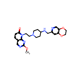 COc1ncc2ccc(=O)n(CCN3CCC(NCc4cc5c(cn4)OCCO5)CC3)c2n1